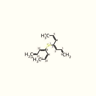 C=C/C=C(\C=C/C)SC(/C=C\C)=C/C=C